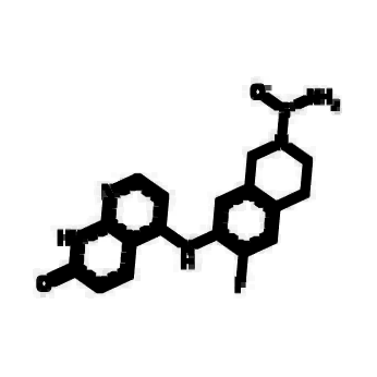 N[S+]([O-])N1CCc2cc(F)c(Nc3ccnc4[nH]c(=O)ccc34)cc2C1